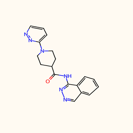 O=C(Nc1nncc2ccccc12)C1CCN(c2cccnn2)CC1